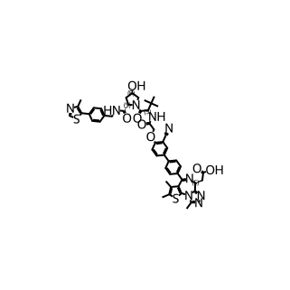 Cc1ncsc1-c1ccc(CNC(=O)[C@@H]2C[C@@H](O)CN2C(=O)[C@@H](NC(=O)COc2ccc(-c3ccc(C4=N[C@@H](CC(=O)O)c5nnc(C)n5-c5sc(C)c(C)c54)cc3)cc2C#N)C(C)(C)C)cc1